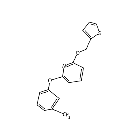 FC(F)(F)c1cccc(Oc2cccc(OCc3cccs3)n2)c1